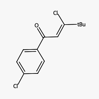 CC(C)(C)/C(Cl)=C/C(=O)c1ccc(Cl)cc1